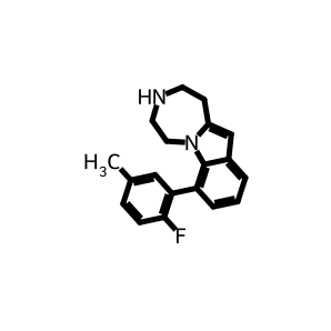 Cc1ccc(F)c(-c2cccc3cc4n(c23)CCNCC4)c1